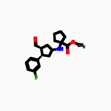 COC(=O)C1(NC2C[C@H](c3cccc(F)c3)[C@@H](C=O)C2)CCCC1